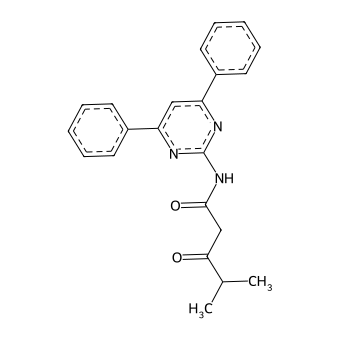 CC(C)C(=O)CC(=O)Nc1nc(-c2ccccc2)cc(-c2ccccc2)n1